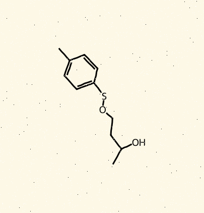 Cc1ccc(SOCCC(C)O)cc1